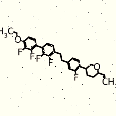 C=CC1CCC(c2ccc(CCc3ccc(-c4ccc(OCC)c(F)c4F)c(F)c3F)cc2F)CO1